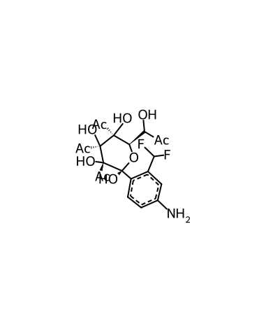 CC(=O)C(O)[C@H]1O[C@](O)(c2ccc(N)cc2C(F)F)[C@@](O)(C(C)=O)[C@](O)(C(C)=O)[C@]1(O)C(C)=O